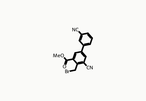 COC(=O)c1cc(-c2cccc(C#N)c2)cc(C#N)c1CBr